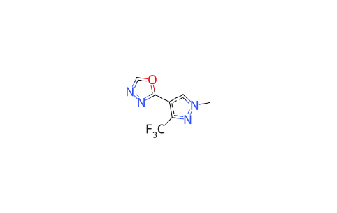 Cn1cc(-c2nnco2)c(C(F)(F)F)n1